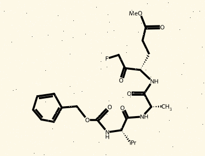 COC(=O)CC[C@H](NC(=O)[C@H](C)NC(=O)[C@@H](NC(=O)OCc1ccccc1)C(C)C)C(=O)CF